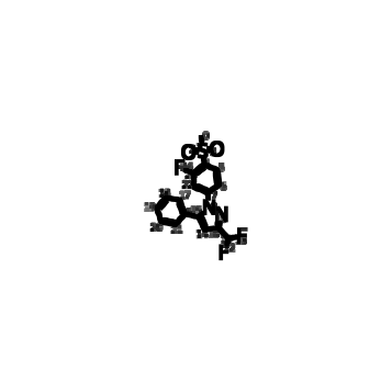 CS(=O)(=O)c1ccc(-n2nc(C(F)F)cc2-c2ccccc2)cc1F